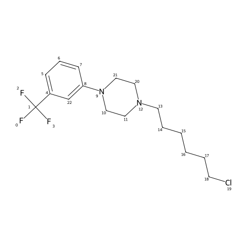 FC(F)(F)c1cccc(N2CCN(CCCCCCCl)CC2)c1